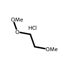 COCCOOC.Cl